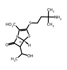 CC(O)C1C(=O)N2C(C(=O)O)=C(SCCC(C)(C)N)S[C@H]12